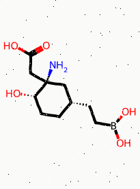 N[C@@]1(CC(=O)O)C[C@H](CCB(O)O)CC[C@@H]1O